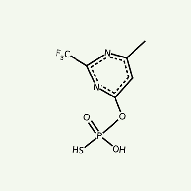 Cc1cc(OP(=O)(O)S)nc(C(F)(F)F)n1